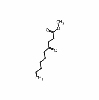 CCCCCCC(=O)CCC(=O)OC